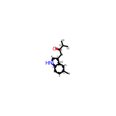 Cc1ccc2[nH]cc(CC(=O)C(C)C)c2c1